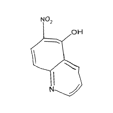 O=[N+]([O-])c1ccc2ncccc2c1O